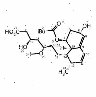 CC[C@H](C)C(=O)O[C@H]1C[C@H](O)C=C2C=C[C@H](C)[C@H](CC[C@H](C[C@@H](O)CC(=O)O)OI)[C@H]21